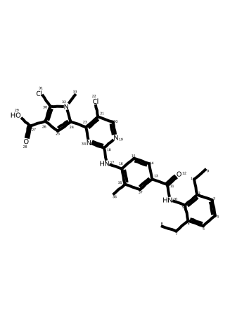 CCc1cccc(CC)c1NC(=O)c1ccc(Nc2ncc(Cl)c(-c3cc(C(=O)O)c(Cl)n3C)n2)c(C)c1